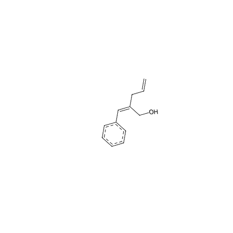 C=CCC(=Cc1ccccc1)CO